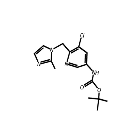 Cc1nccn1Cc1ncc(NC(=O)OC(C)(C)C)cc1Cl